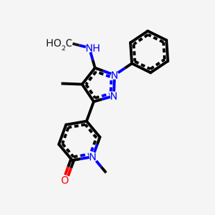 Cc1c(-c2ccc(=O)n(C)c2)nn(-c2ccccc2)c1NC(=O)O